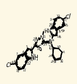 Cn1nc(-c2cc3cc(Cl)ccc3[nH]2)sc1=[N+](c1cc2cc(Cl)ccc2[nH]1)C1CCCCC1